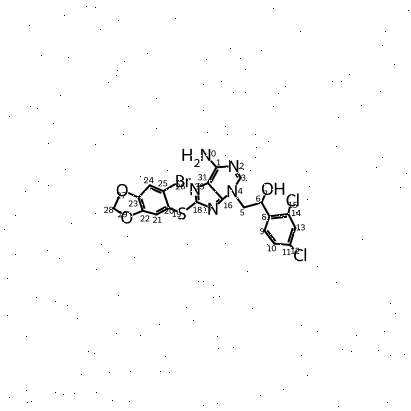 Nc1ncn(CC(O)c2ccc(Cl)cc2Cl)c2nc(Sc3cc4c(cc3Br)OCO4)nc1-2